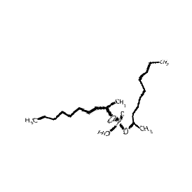 CCCCCCCCC(C)OP(=O)(O)OC(C)CCCCCCCC